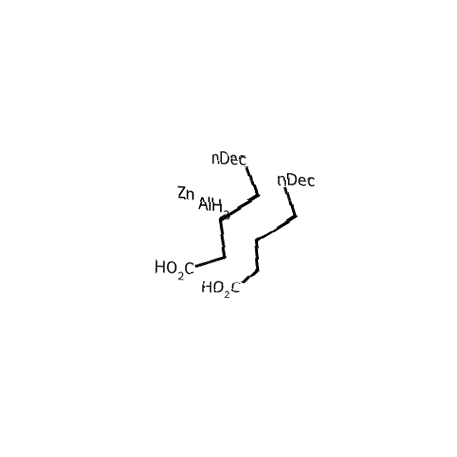 CCCCCCCCCCCCCC(=O)O.CCCCCCCCCCCCCC(=O)O.[AlH3].[Zn]